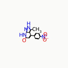 Cc1[nH]nc2[nH]c(=O)cc(-c3ccc([N+](=O)[O-])cc3)c12